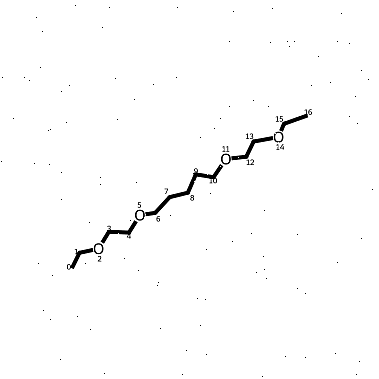 CCOCCOCCCCCOCCOCC